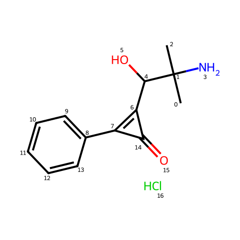 CC(C)(N)C(O)c1c(-c2ccccc2)c1=O.Cl